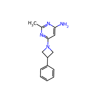 Cc1nc(N)cc(N2CC(c3ccccc3)C2)n1